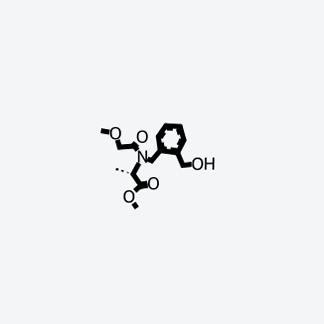 COCC(=O)N(Cc1ccccc1CO)[C@@H](C)C(=O)OC